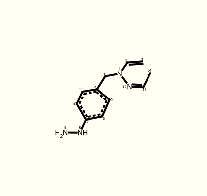 C=CN(Cc1ccc(NN)cc1)/N=C\C